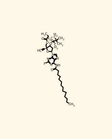 C#C[C@]1(COC(=O)CC)O[C@@H](n2cnc3c(NC(=O)CCCCCCCCCCCCC)nc(F)nc32)CC1O[Si](C)(C)C(C)(C)C